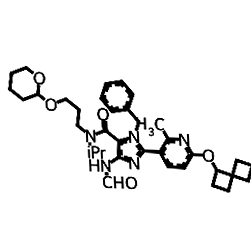 Cc1nc(OC2CCC23CCC3)ccc1-c1nc(NC=O)c(C(=O)N(CCCOC2CCCCO2)C(C)C)n1Cc1ccccc1